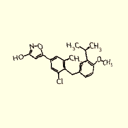 COc1ccc(Cc2c(C)cc(-c3cc(O)no3)cc2Cl)cc1C(C)C